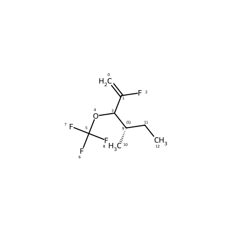 C=C(F)C(OC(F)(F)F)[C@@H](C)CC